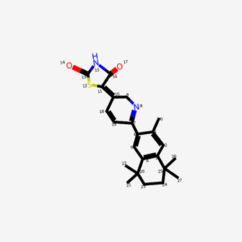 Cc1cc2c(cc1C1=NCC(=C3SC(=O)NC3=O)C=C1)C(C)(C)CCC2(C)C